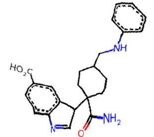 NC(=O)C1(C2C=Nc3ccc(C(=O)O)cc32)CCC(CNc2ccccc2)CC1